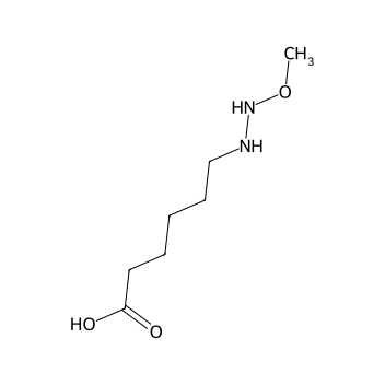 CONNCCCCCC(=O)O